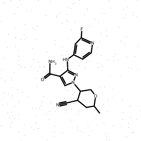 CC1CC(C#N)C(n2cc(C(N)=O)c(Nc3ccnc(F)c3)n2)CO1